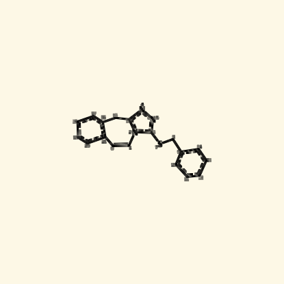 C1=Cn2c(nnc2SCc2ccccc2)Cc2ccccc21